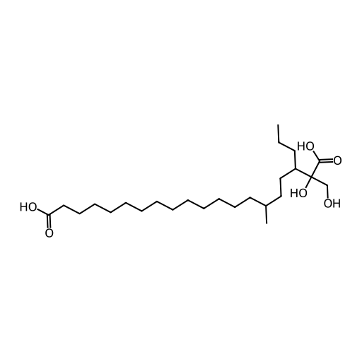 CCCC(CCC(C)CCCCCCCCCCCCCC(=O)O)C(O)(CO)C(=O)O